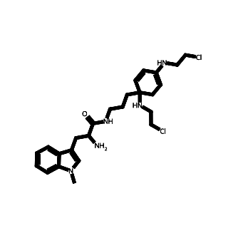 Cn1cc(CC(N)C(=O)NCCCC2(NCCCl)C=CC(NCCCl)=CC2)c2ccccc21